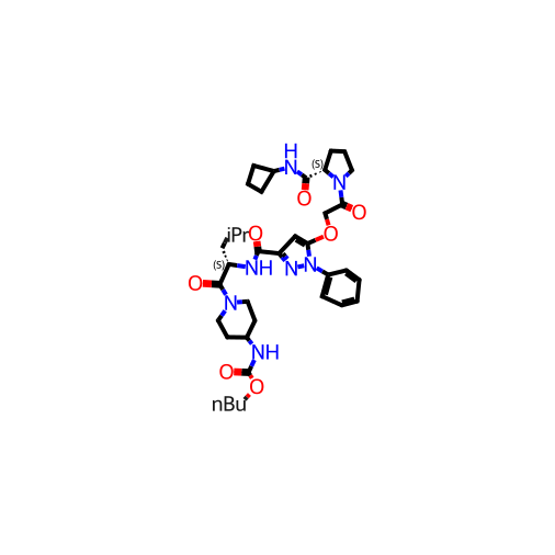 CCCCOC(=O)NC1CCN(C(=O)[C@H](CC(C)C)NC(=O)c2cc(OCC(=O)N3CCC[C@H]3C(=O)NC3CCC3)n(-c3ccccc3)n2)CC1